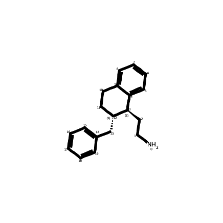 NCC[C@@H]1c2ccccc2CC[C@H]1Cc1ccccc1